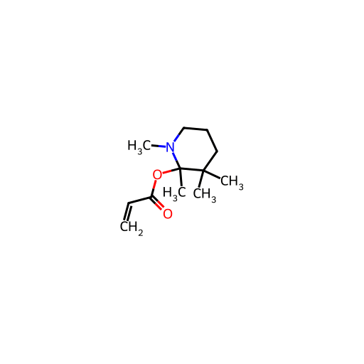 C=CC(=O)OC1(C)N(C)CCCC1(C)C